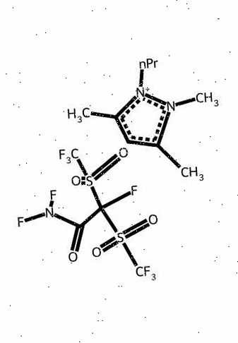 CCC[n+]1c(C)cc(C)n1C.O=C(N(F)F)C(F)(S(=O)(=O)C(F)(F)F)S(=O)(=O)C(F)(F)F